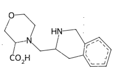 O=C(O)C1COCCN1CC1Cc2ccccc2CN1